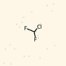 F[C](F)Cl